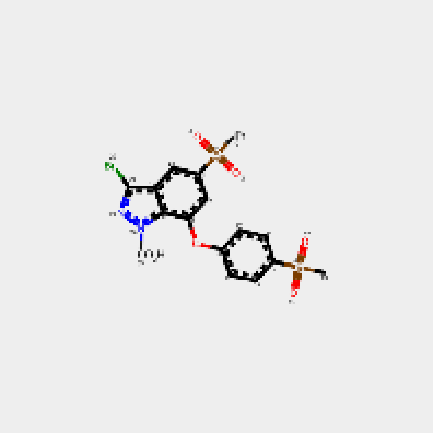 CC(C)S(=O)(=O)c1cc(Oc2ccc(S(C)(=O)=O)cc2)c2c(c1)c(Br)nn2C(=O)O